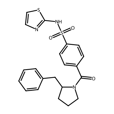 O=C(c1ccc(S(=O)(=O)Nc2nccs2)cc1)N1CCCC1Cc1ccccc1